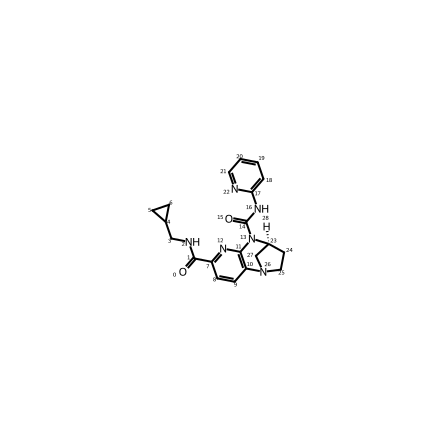 O=C(NCC1CC1)c1ccc2c(n1)N(C(=O)Nc1ccccn1)[C@H]1CCN2C1